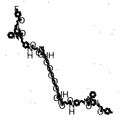 Cc1ccc(C(=O)CCCN2CCC3(CC2)C(=O)N(CCc2ccc(NC(=O)CCC(=O)N(C)CC(=O)NCCOCCOCCOCCOCCOCCNC(=O)CN(C)C(=O)CCC(=O)Nc4ccc(CCN5CN(c6ccccc6)C6(CCN(CCCC(=O)c7ccc(F)cc7)CC6)C5=O)cc4)cc2)CN3c2ccccc2)cc1